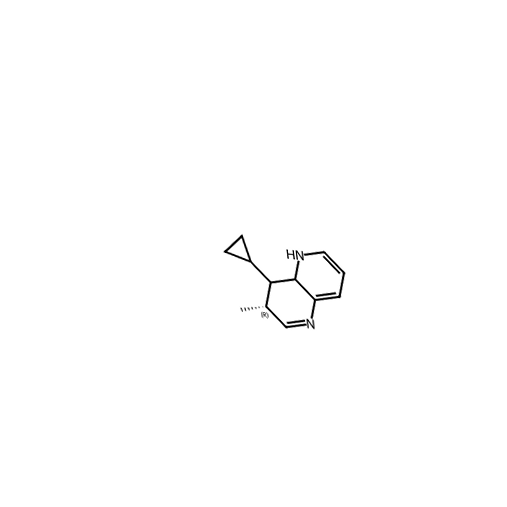 C[C@H]1C=NC2=CC=CNC2C1C1CC1